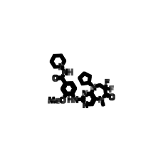 COc1cc(C(=O)NN2CCCCC2)ccc1Nc1ncc2c(n1)N(C1CCCC1)CC(F)(F)C(=O)N2C